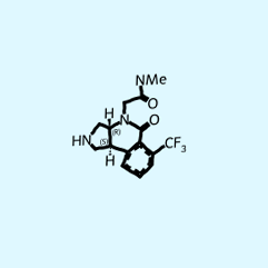 CNC(=O)CN1C(=O)c2c(cccc2C(F)(F)F)[C@H]2CNC[C@@H]21